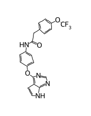 O=C(Cc1ccc(OC(F)(F)F)cc1)Nc1ccc(Oc2ncnc3[nH]ccc23)cc1